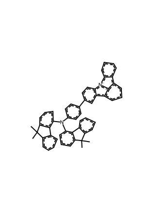 CC1(C)c2ccccc2-c2c(N(c3ccc(-c4ccc5c(c4)c4cccc6c7ccccc7n5c64)cc3)c3cccc4c3-c3ccccc3C4(C)C)cccc21